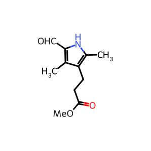 COC(=O)CCc1c(C)[nH]c(C=O)c1C